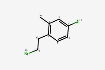 Cc1cc(Cl)ccc1CCBr